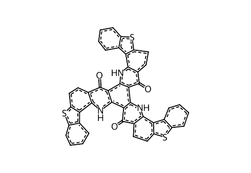 O=c1c2ccc3sc4ccccc4c3c2[nH]c2c1c1[nH]c3c(ccc4sc5ccccc5c43)c(=O)c1c1[nH]c3c(ccc4sc5ccccc5c43)c(=O)c21